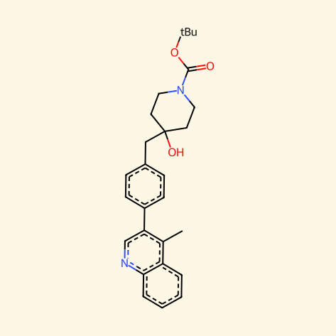 Cc1c(-c2ccc(CC3(O)CCN(C(=O)OC(C)(C)C)CC3)cc2)cnc2ccccc12